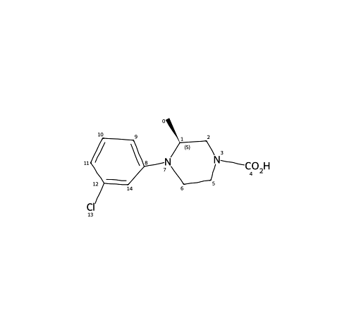 C[C@H]1CN(C(=O)O)CCN1c1cccc(Cl)c1